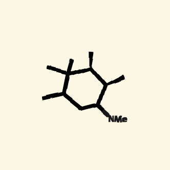 CNC1CC(C)C(C)(C)[C@@H](C)[C@H]1C